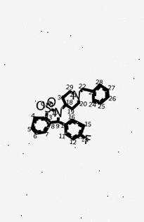 O=S1(=O)c2ccccc2C(c2ccc(F)cc2)N1C1CCN(Cc2ccccc2)CC1